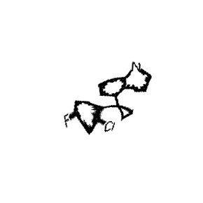 Fc1ccc(C2(c3cccc4ncccc34)[CH]C2)c(Cl)c1